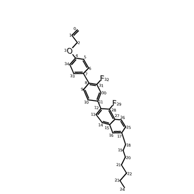 C=CCOc1ccc(-c2ccc(-c3ccc4cc(CCCCCCC)ccc4c3F)cc2F)cc1